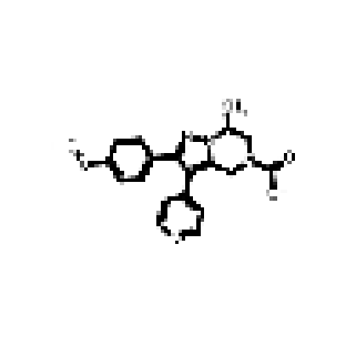 COc1ccc(-c2nn3c(c2-c2ccncc2)CN(C(=O)O)CC3C)cc1